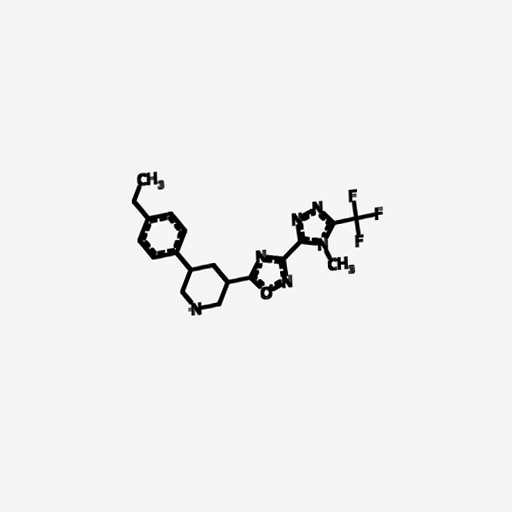 CCc1ccc(C2C[N]CC(c3nc(-c4nnc(C(F)(F)F)n4C)no3)C2)cc1